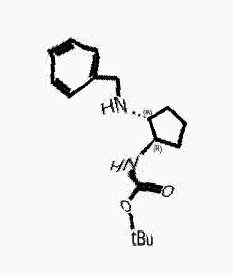 CC(C)(C)OC(=O)N[C@@H]1CCC[C@H]1NCc1ccccc1